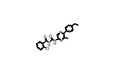 CCc1ccc(-c2ncc(NC(=O)NC(=O)c3ccccc3Cl)nc2C)cc1